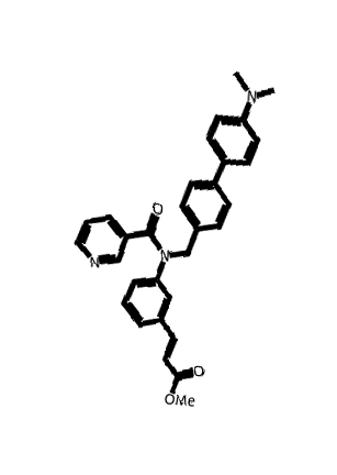 COC(=O)/C=C/c1cccc(N(Cc2ccc(-c3ccc(N(C)C)cc3)cc2)C(=O)c2cccnc2)c1